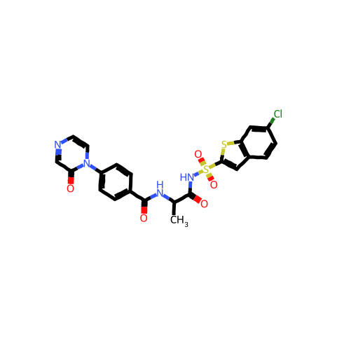 CC(NC(=O)c1ccc(-n2ccncc2=O)cc1)C(=O)NS(=O)(=O)c1cc2ccc(Cl)cc2s1